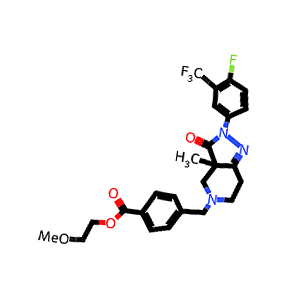 COCCOC(=O)c1ccc(CN2CCC3=NN(c4ccc(F)c(C(F)(F)F)c4)C(=O)C3(C)C2)cc1